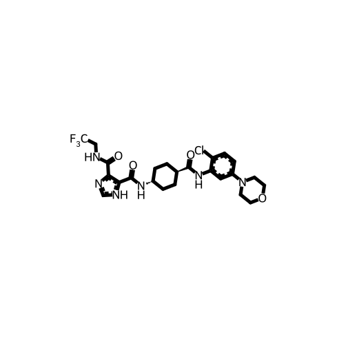 O=C(NCC(F)(F)F)c1nc[nH]c1C(=O)N[C@H]1CC[C@H](C(=O)Nc2cc(N3CCOCC3)ccc2Cl)CC1